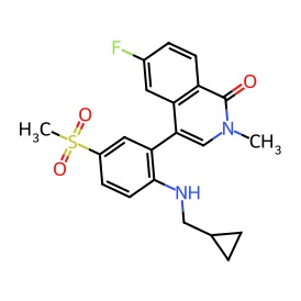 Cn1cc(-c2cc(S(C)(=O)=O)ccc2NCC2CC2)c2cc(F)ccc2c1=O